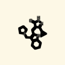 O=C1NN=C(C2CC2)/C1=C\c1[nH]c2c(c1CN1CCCC1)CCCC2